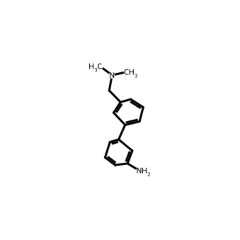 CN(C)Cc1cccc(-c2cc[c]c(N)c2)c1